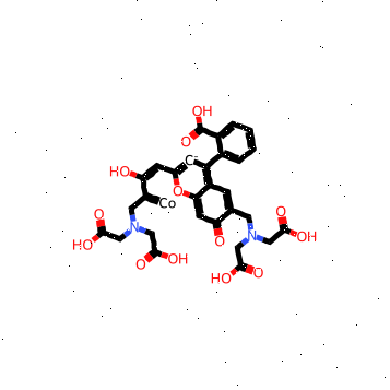 O=C(O)CN(CC(=O)O)C[C](=[Co])/C(O)=C\c1[c-]c(-c2ccccc2C(=O)O)c2cc(CN(CC(=O)O)CC(=O)O)c(=O)cc-2o1